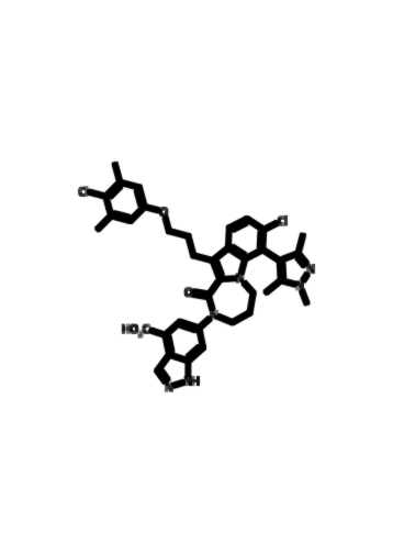 Cc1cc(OCCCc2c3n(c4c(-c5c(C)nn(C)c5C)c(Cl)ccc24)CCCN(c2cc(C(=O)O)c4cn[nH]c4c2)C3=O)cc(C)c1Cl